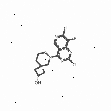 O[C@H]1C[C@]2(CCCN(c3nc(Cl)nc4c(F)c(Cl)ncc34)C2)C1